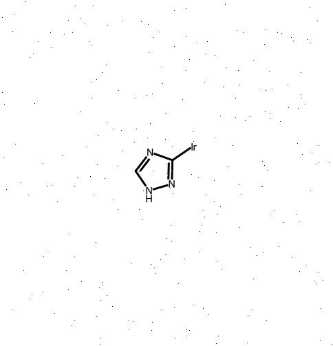 [Ir][c]1nc[nH]n1